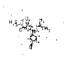 CSNC(=O)c1nc(N(CC=C(C)C)c2ccc(C#N)cc2)sc1C